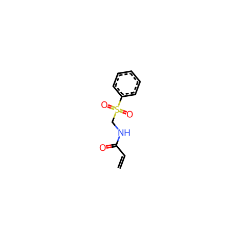 C=CC(=O)NCS(=O)(=O)c1ccccc1